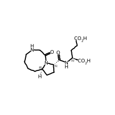 O=C(O)CC[C@H](NC(=O)[C@@H]1CC[C@H]2CCCCNCC(=O)N21)C(=O)O